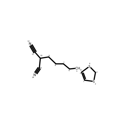 C1=CSCS1.CCCCCC(C#N)C#N